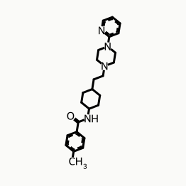 Cc1ccc(C(=O)NC2CCC(CCN3CCN(c4ccccn4)CC3)CC2)cc1